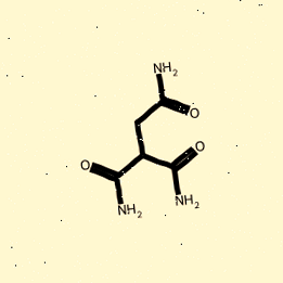 NC(=O)CC(C(N)=O)C(N)=O